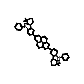 CC1(C)CCCC2c3cc(-c4cc5ccc6cc(-c7ccc8c(c7)C7CCCC(C)(C)C7(C)N8c7ccccc7)cc7ccc(c4)c5c67)ccc3N(c3ccccc3)C21C